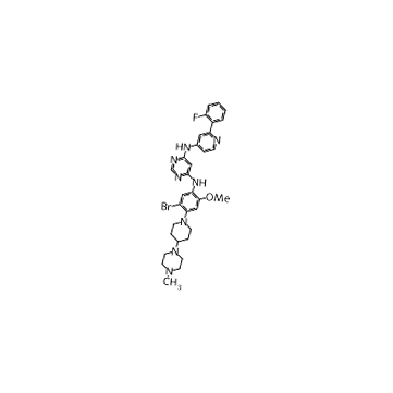 COc1cc(N2CCC(N3CCN(C)CC3)CC2)c(Br)cc1Nc1cc(Nc2ccnc(-c3ccccc3F)c2)ncn1